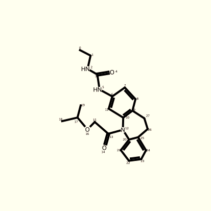 CCNC(=O)Nc1ccc2c(c1)N(C(=O)COC(C)C)c1ccccc1CC2